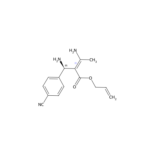 C=CCOC(=O)/C(=C(\C)N)[C@H](N)c1ccc(C#N)cc1